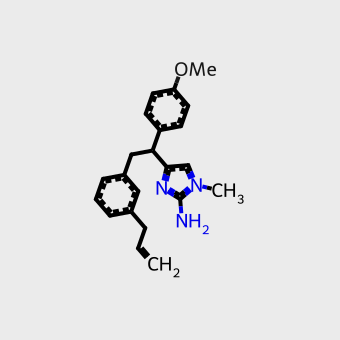 C=CCc1cccc(CC(c2ccc(OC)cc2)c2cn(C)c(N)n2)c1